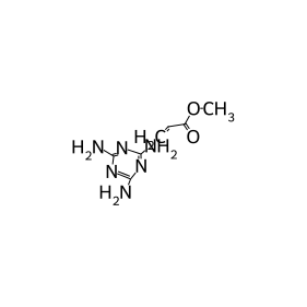 C=CC(=O)OC.Nc1nc(N)nc(N)n1